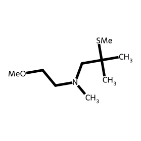 COCCN(C)CC(C)(C)SC